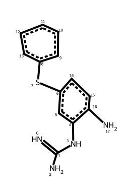 N=C(N)Nc1cc(Sc2ccccc2)ccc1N